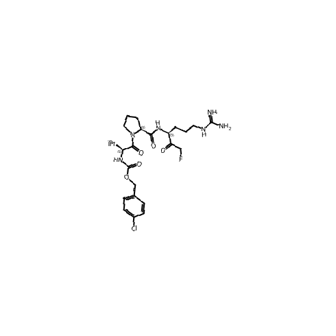 CC(C)[C@H](NC(=O)OCc1ccc(Cl)cc1)C(=O)N1CCC[C@H]1C(=O)N[C@@H](CCCNC(=N)N)C(=O)CF